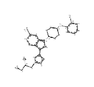 Nc1cc2c(cn1)c(-c1cnn(C[C@@H](O)CO)c1)nn2[C@H]1CC[C@@H](Oc2ccccc2F)CC1